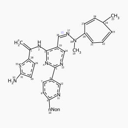 C=C(Nc1nc(-c2ccc(CCCCCCCCC)nc2)ncc1/C=N\N(C)C1=CC=CC(C)C=C1)c1ccc(N)s1